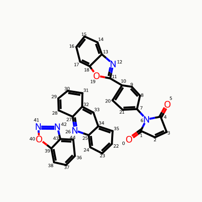 O=C1C=CC(=O)N1c1ccc(-c2nc3ccccc3o2)cc1.c1ccc2nc3ccccc3cc2c1.c1ccc2onnc2c1